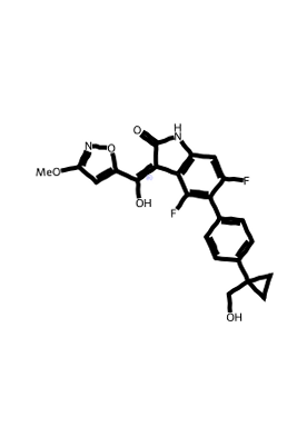 COc1cc(/C(O)=C2\C(=O)Nc3cc(F)c(-c4ccc(C5(CO)CC5)cc4)c(F)c32)on1